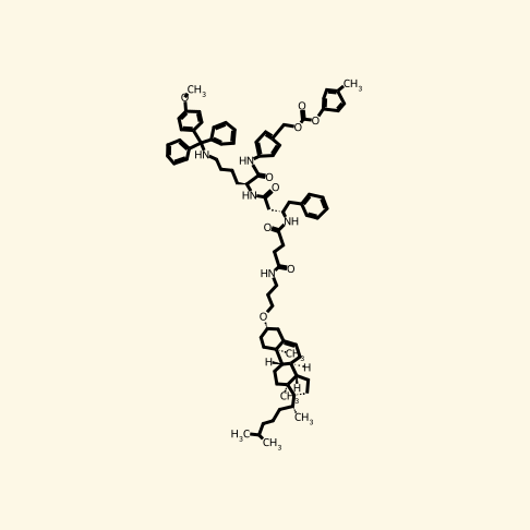 COc1ccc(C(NCCCC[C@H](NC(=O)C[C@H](Cc2ccccc2)NC(=O)CCC(=O)NCCCO[C@H]2CC[C@@]3(C)C(=CC[C@H]4[C@@H]5CC[C@H]([C@H](C)CCCC(C)C)[C@@]5(C)CC[C@@H]43)C2)C(=O)Nc2ccc(COC(=O)Oc3ccc(C)cc3)cc2)(c2ccccc2)c2ccccc2)cc1